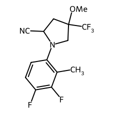 COC1(C(F)(F)F)CC(C#N)N(c2ccc(F)c(F)c2C)C1